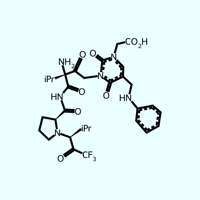 CC(C)[C@@H](C(=O)C(F)(F)F)N1CCC[C@H]1C(=O)NC(=O)[C@](N)(C(=O)Cn1c(=O)c(CNc2ccccc2)cn(CC(=O)O)c1=O)C(C)C